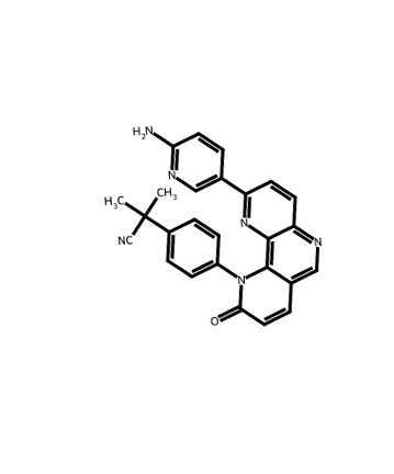 CC(C)(C#N)c1ccc(-n2c(=O)ccc3cnc4ccc(-c5ccc(N)nc5)nc4c32)cc1